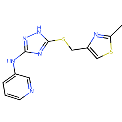 Cc1nc(CSc2nc(Nc3cccnc3)n[nH]2)cs1